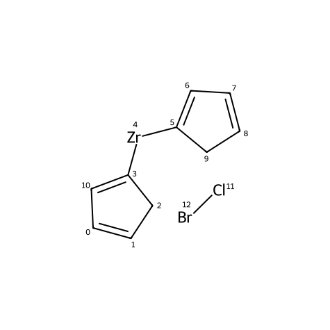 C1=CC[C]([Zr][C]2=CC=CC2)=C1.ClBr